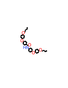 C=CCCOc1ccc(Oc2ccc(NC(=O)c3ccc(Oc4ccc(OCCC=C)cc4)cc3)cc2)cc1